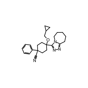 N#CC1(c2ccccc2)CCC(OCC2CC2)(c2nnc3n2CCCCC3)CC1